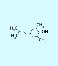 CC(C)CCC1CC(C)C(O)C(C)C1